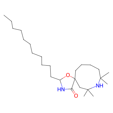 CCCCCCCCCCCC1NC(=O)C2(CCCCC(C)(C)NC(C)(C)C2)O1